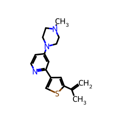 C=C(C)c1cc(-c2cc(N3CCN(C)CC3)ccn2)cs1